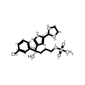 CS(=O)(=O)OCCC[C@@](O)(c1cccc(Cl)c1)c1csc(C2OCCO2)c1